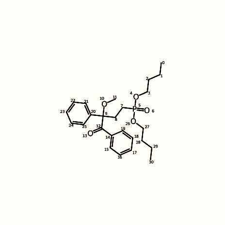 CCCCOP(=O)(CCC(OC)(C(=O)c1ccccc1)c1ccccc1)OCCCC